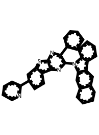 c1ccc(-c2nc3sc4cc(-c5ccccn5)ccc4c3nc2-n2c3ccccc3c3cc4ccccc4cc32)cc1